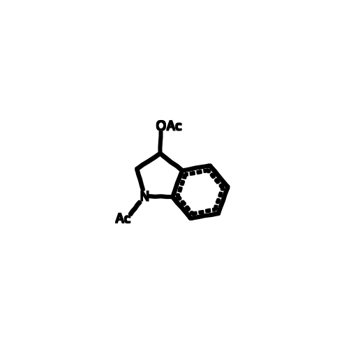 CC(=O)OC1CN(C(C)=O)c2ccccc21